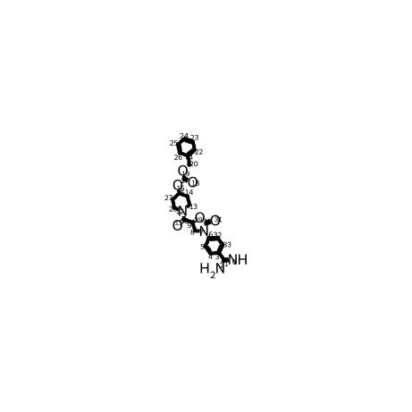 N=C(N)c1ccc(N2CC(C(=O)N3CCC(OC(=O)OCc4ccccc4)CC3)OC2=O)cc1